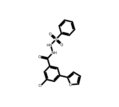 O=C(NNS(=O)(=O)c1ccccc1)c1cc(Cl)cc(-c2ccco2)c1